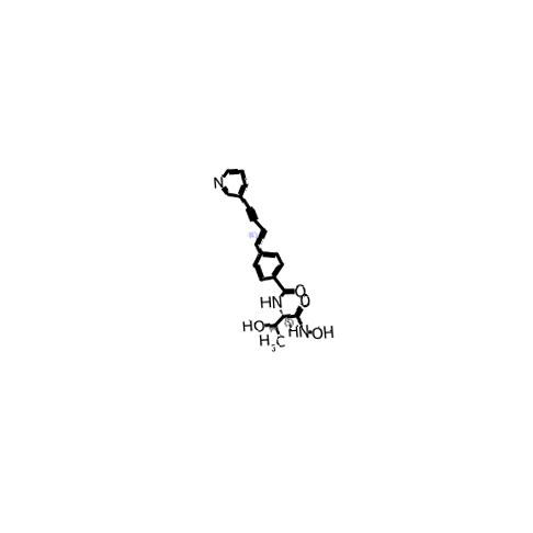 C[C@@H](O)[C@H](NC(=O)c1ccc(/C=C/C#Cc2cccnc2)cc1)C(=O)NO